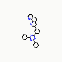 c1ccc(-c2nc(-c3ccccc3)nc(-c3cccc(-c4cnc5c(ccc6cccnc65)c4)c3)n2)cc1